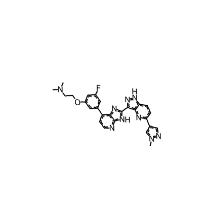 CN(C)CCOc1cc(F)cc(-c2ccnc3[nH]c(-c4n[nH]c5ccc(-c6cnn(C)c6)nc45)nc23)c1